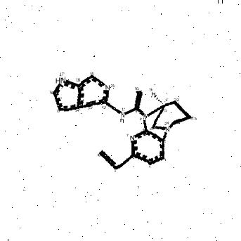 C=Cc1ccc2c(n1)N(C(=C)Nc1cc3cc[nH]c3cn1)[C@H]1CCN2C1